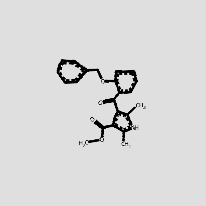 COC(=O)c1c(C)[nH]c(C)c1C(=O)c1ccccc1OCc1ccccc1